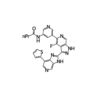 CCCC(=O)Nc1cncc(-c2ncc3[nH]nc(-c4nc5c(-c6cccs6)cncc5[nH]4)c3c2F)c1